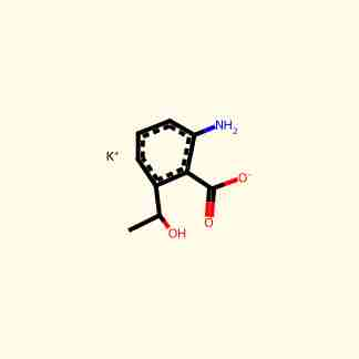 CC(O)c1cccc(N)c1C(=O)[O-].[K+]